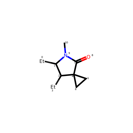 CCC1C(CC)C2(CC2)C(=O)N1C